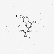 Cc1ccc2c(C)nc(NC(=N)N)nc2c1